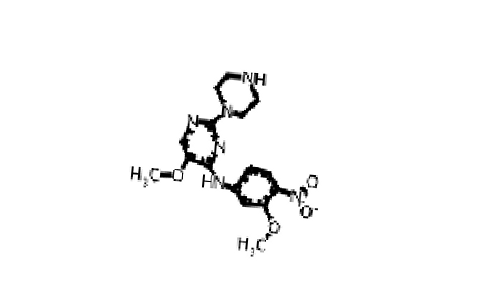 COc1cc(Nc2nc(N3CCNCC3)ncc2OC)ccc1[N+](=O)[O-]